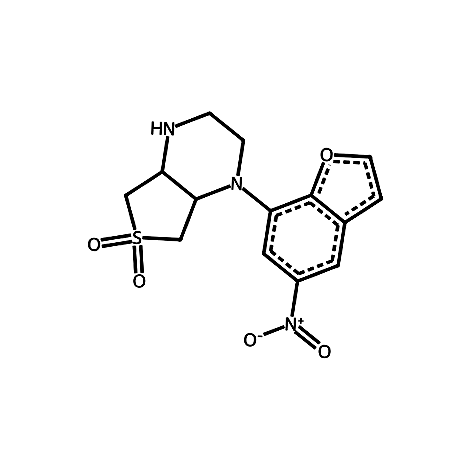 O=[N+]([O-])c1cc(N2CCNC3CS(=O)(=O)CC32)c2occc2c1